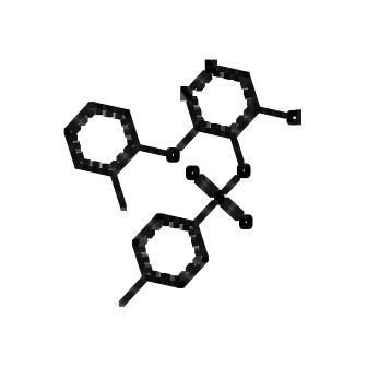 Cc1ccc(S(=O)(=O)Oc2c(Cl)cnnc2Oc2ccccc2C)cc1